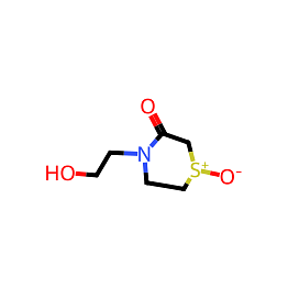 O=C1C[S+]([O-])CCN1CCO